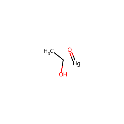 CCO.[O]=[Hg]